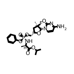 CC(C)OC(=O)[C@@H](C)NP(=O)(OC[C@@H]1C[C@@](C)(F)[C@H](n2ccc(N)nc2=O)O1)Oc1ccccc1